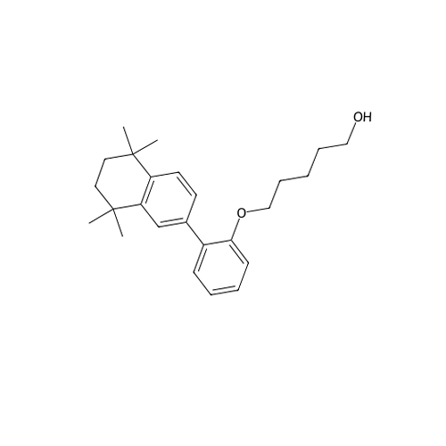 CC1(C)CCC(C)(C)c2cc(-c3ccccc3OCCCCCO)ccc21